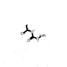 CCCOC(=O)OC(C)Cl